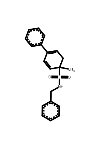 CC1(S(=O)(=O)NCc2ccccc2)C=CC(c2ccccc2)=CC1